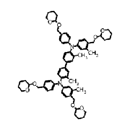 Cc1cc(N(c2ccc(COC3CCCCO3)cc2)c2ccc(-c3ccc(N(c4ccc(COC5CCCCO5)cc4)c4ccc(COC5CCCCO5)c(C)c4)c(C)c3)cc2C)ccc1COC1CCCCO1